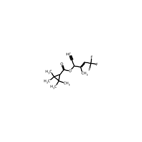 C#CC(OC(=O)C1C(C)(C)C1(C)C)/C(C)=C/C(F)(F)F